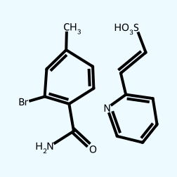 Cc1ccc(C(N)=O)c(Br)c1.O=S(=O)(O)/C=C/c1ccccn1